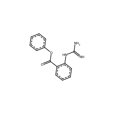 N=C(N)Nc1ccccc1C(=O)Oc1ccccc1